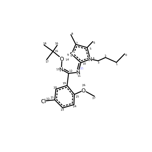 CCCCn1c(C)c(C)s/c1=N\C(=NOC(C)(C)C)c1cc(Cl)ccc1OC